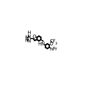 CCCc1ccc(NCc2ccc3oc(-c4nnn[nH]4)cc3c2)cc1OC(F)(F)F